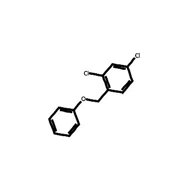 Clc1c[c]c(COc2ccccc2)c(Cl)c1